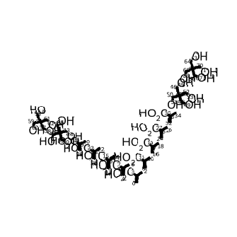 C=C(C)C(=O)O.C=C(C)C(=O)O.C=C(C)C(=O)O.C=C(C)C(=O)O.C=C(C)C(=O)O.C=C(C)C(=O)O.C=C(C)C(=O)O.C=C(C)C(=O)O.C=C(C)C(=O)O.OCC(CO)(CO)CO.OCC(CO)(CO)CO.OCC(CO)(CO)CO.OCC(CO)(CO)CO